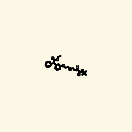 CCOC(=O)C(c1ccccc1)c1cccc(OCCOCCNC(=O)OC(C)(C)C)c1